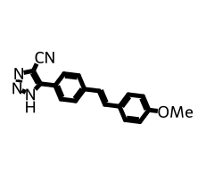 COc1ccc(C=Cc2ccc(-c3[nH]nnc3C#N)cc2)cc1